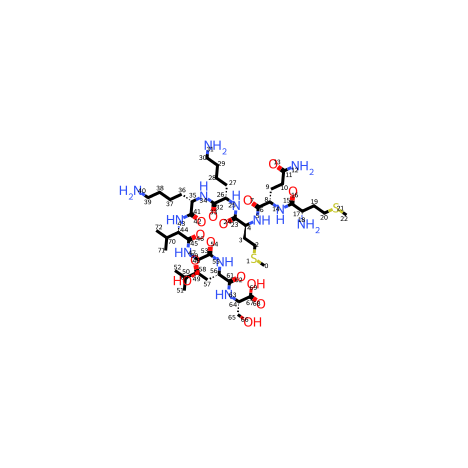 CSCC[C@H](NC(=O)[C@H](CCC(N)=O)NC(=O)[C@@H](N)CCSC)C(=O)N[C@@H](CCCCN)C(=O)N[C@@H](CCCCN)C(=O)N[C@H](C(=O)N[C@@H](CC(C)C)C(=O)N[C@@H](CC(=O)O)C(=O)N[C@@H](CO)C(=O)O)C(C)C